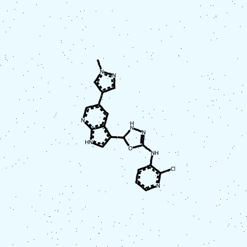 Cn1cc(-c2cnc3[nH]cc(C4NN=C(Nc5cccnc5Cl)O4)c3c2)cn1